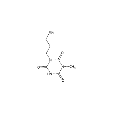 Cn1c(=O)[nH]c(=O)n(CCCC(C)(C)C)c1=O